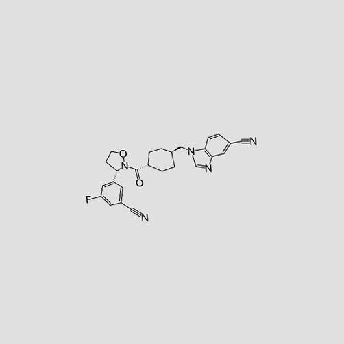 N#Cc1cc(F)cc([C@@H]2CCON2C(=O)[C@H]2CC[C@H](Cn3cnc4cc(C#N)ccc43)CC2)c1